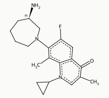 Cc1cn(C2CC2)c2c(C)c(N3CCCC[C@@H](N)C3)c(F)cc2c1=O